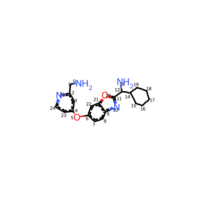 NCc1cc(Oc2ccc3nc(C(N)C4CCCCC4)oc3c2)ccn1